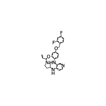 C=CC(=O)N1CCC(Nc2ccncc2Nc2ccc(OCc3ccc(F)cc3F)cc2)C1